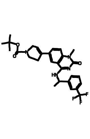 CC(Nc1nc(=O)n(C)c2ccc(C3=CCN(C(=O)OC(C)(C)C)CC3)cc12)c1cccc(C(F)(F)F)c1